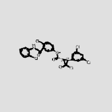 O=C(Nc1ccccc1Cl)c1cc(NC(=O)[C@@H]2[C@@H](c3cc(Cl)cc(Cl)c3)C2(Cl)Cl)ccc1Cl